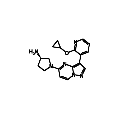 N[C@@H]1CCN(c2ccn3ncc(-c4cccnc4OC4CC4)c3n2)C1